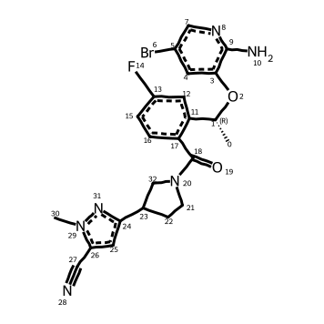 C[C@@H](Oc1cc(Br)cnc1N)c1cc(F)ccc1C(=O)N1CCC(c2cc(C#N)n(C)n2)C1